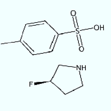 Cc1ccc(S(=O)(=O)O)cc1.F[C@@H]1CCNC1